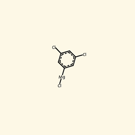 [Cl][Mg][c]1cc(Cl)cc(Cl)c1